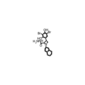 NNC(=O)C1C(c2cc(Br)c(O)c(Br)c2O)CN1c1ccc2ccccc2c1